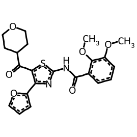 COc1cccc(C(=O)Nc2nc(-c3ccco3)c(C(=O)C3CCOCC3)s2)c1OC